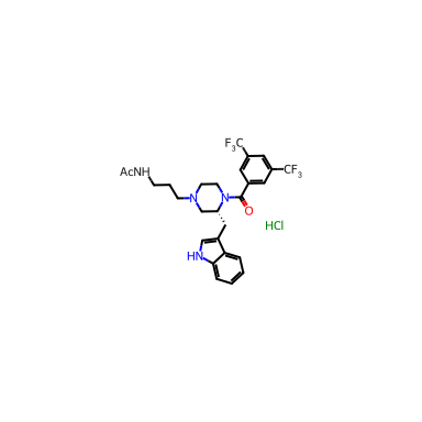 CC(=O)NCCCN1CCN(C(=O)c2cc(C(F)(F)F)cc(C(F)(F)F)c2)[C@H](Cc2c[nH]c3ccccc23)C1.Cl